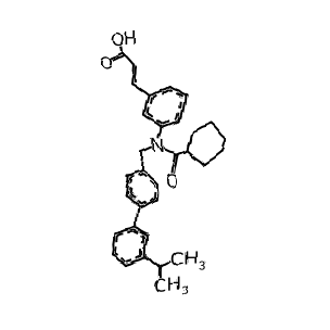 CC(C)c1cccc(-c2ccc(CN(C(=O)C3CCCCC3)c3cccc(/C=C/C(=O)O)c3)cc2)c1